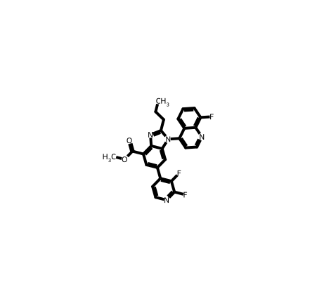 CCCc1nc2c(C(=O)OC)cc(-c3ccnc(F)c3F)cc2n1-c1ccnc2c(F)cccc12